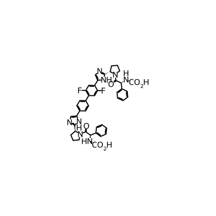 O=C(O)N[C@@H](C(=O)N1CCC[C@H]1c1ncc(-c2ccc(-c3cc(F)c(-c4cnc([C@@H]5CCCN5C(=O)[C@H](NC(=O)O)c5ccccc5)[nH]4)cc3F)cc2)[nH]1)c1ccccc1